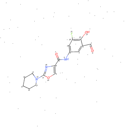 O=Cc1cc(NC(=O)c2coc(N3CCCCC3)n2)cc(F)c1O